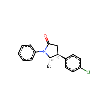 CC[C@H]1[C@H](c2ccc(Cl)cc2)CC(=O)N1c1ccccc1